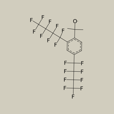 CC(C)([O])c1ccc(C(F)(F)C(F)(F)C(F)(F)C(F)(F)F)cc1C(F)(F)C(F)(F)C(F)(F)C(F)(F)F